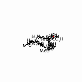 C=C1C[C@H]2C(O)N(C(=O)OCc3ccc(O[C@@H]4O[C@H](C(=O)O)[C@@H](O)[C@H](O)[C@H]4O)c(C(=O)NCCOCCON)c3)c3cc(OCCCCn4cc(C(=O)Nc5cc(C(=O)Nc6cc(C(=O)NCCCN(C)C)n(C)c6)n(C)c5)cn4)c(OC)cc3C(=O)N2C1